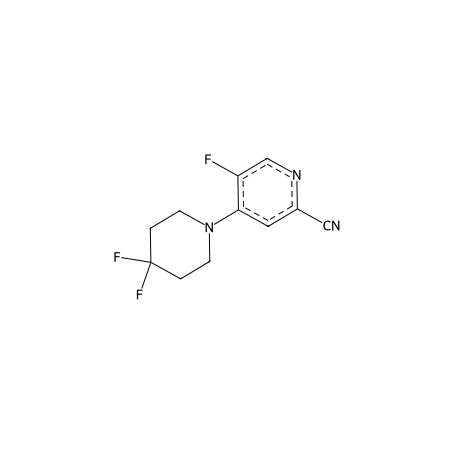 N#Cc1cc(N2CCC(F)(F)CC2)c(F)cn1